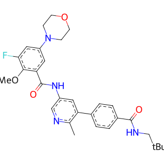 COc1c(F)cc(N2CCOCC2)cc1C(=O)Nc1cnc(C)c(-c2ccc(C(=O)NCC(C)(C)C)cc2)c1